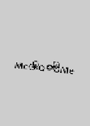 COC(=O)C[C@H]1CC[C@H](c2ccc(C(=O)OC)cc2)CC1